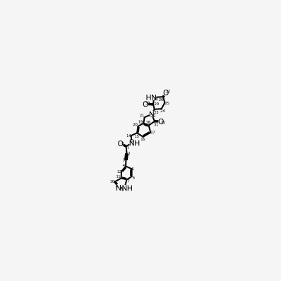 O=C(C#Cc1ccc2[nH]ncc2c1)NCc1ccc2c(c1)CN(C1CCC(=O)NC1=O)C2=O